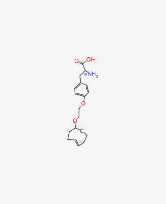 N[C@@H](Cc1ccc(OCCOC2CC/C=C/CCC2)cc1)C(=O)O